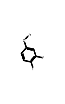 Fc1ccc([O][Zr])cc1F